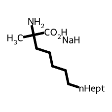 CCCCCCCCCCCCC(C)(N)C(=O)O.[NaH]